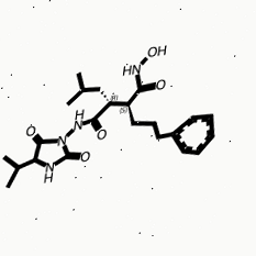 CC(C)C[C@@H](C(=O)NN1C(=O)NC(C(C)C)C1=O)[C@H](CCCc1ccccc1)C(=O)NO